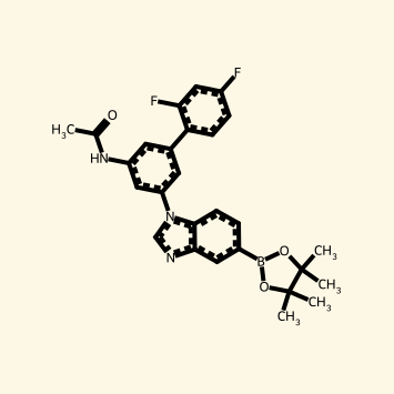 CC(=O)Nc1cc(-c2ccc(F)cc2F)cc(-n2cnc3cc(B4OC(C)(C)C(C)(C)O4)ccc32)c1